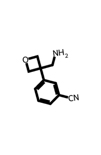 N#Cc1cccc(C2(CN)COC2)c1